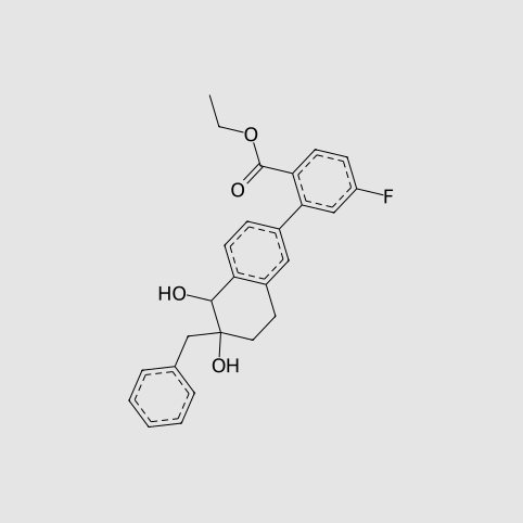 CCOC(=O)c1ccc(F)cc1-c1ccc2c(c1)CCC(O)(Cc1ccccc1)C2O